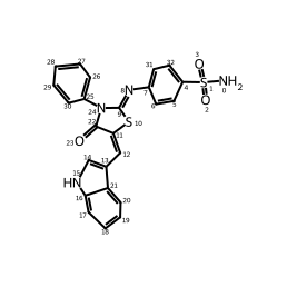 NS(=O)(=O)c1ccc(/N=C2\SC(=Cc3c[nH]c4ccccc34)C(=O)N2c2ccccc2)cc1